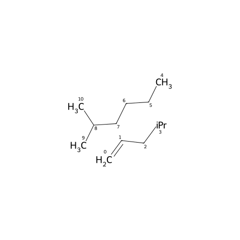 C=CCC(C)C.CCCCC(C)C